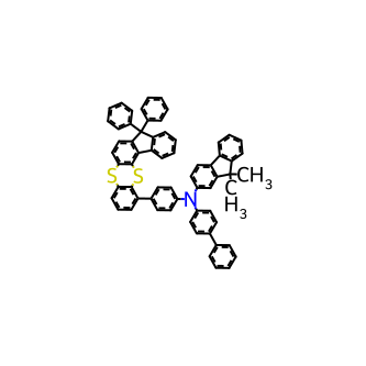 CC1(C)c2ccccc2-c2ccc(N(c3ccc(-c4ccccc4)cc3)c3ccc(-c4cccc5c4Sc4c(ccc6c4-c4ccccc4C6(c4ccccc4)c4ccccc4)S5)cc3)cc21